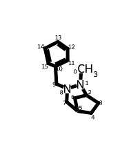 CN1C2CCC(C2)CN1Cc1ccccc1